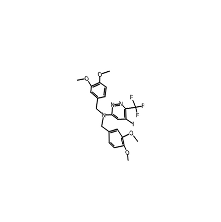 COc1ccc(CN(Cc2ccc(OC)c(OC)c2)c2cc(I)c(C(F)(F)F)nn2)cc1OC